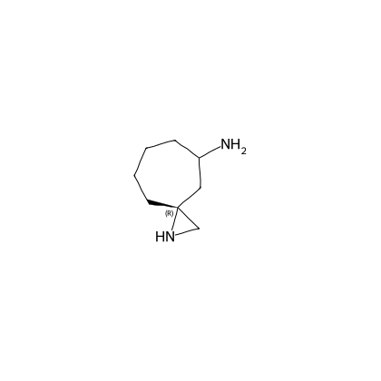 NC1CCCC[C@]2(CN2)C1